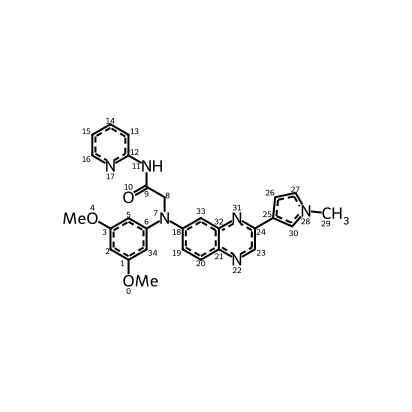 COc1cc(OC)cc(N(CC(=O)Nc2ccccn2)c2ccc3ncc(-c4ccn(C)c4)nc3c2)c1